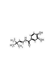 CC(C)(C)/C=N/NC(=O)c1ccc(O)c(O)c1